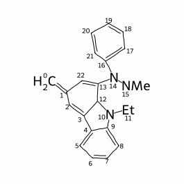 C=C1C=C2c3ccccc3N(CC)C2C(N(NC)c2ccccc2)=C1